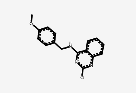 COc1ccc(CNc2nc(Cl)nc3ccccc23)cc1